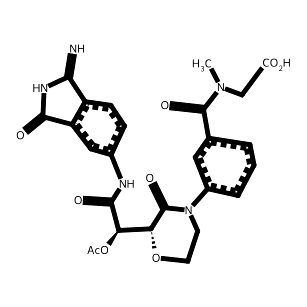 CC(=O)O[C@@H](C(=O)Nc1ccc2c(c1)C(=O)NC2=N)[C@H]1OCCN(c2cccc(C(=O)N(C)CC(=O)O)c2)C1=O